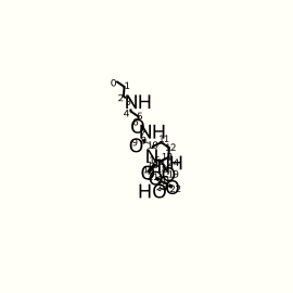 CCCNCCONC(=O)[C@@H]1CC[C@@H]2CN1C(=O)N2OS(=O)(=O)O